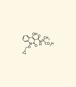 C[C@H](NC(=O)c1c(O)c2ccccc2n(OCC2CC2)c1=O)C(=O)O